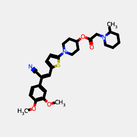 COc1ccc(C(C#N)=Cc2ccc(N3CCC(OC(=O)CN4CCCCC4C)CC3)s2)cc1OC